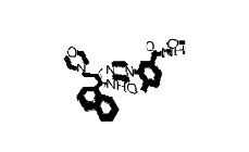 CONC(=O)c1ccc(C)c(-n2ccnc(N[C@@H](c3cccc4ccccc34)[C@@H](C)CN3CCOCC3)c2=O)c1